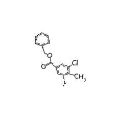 Cc1c(F)cc(C(=O)OCc2ccccc2)cc1Cl